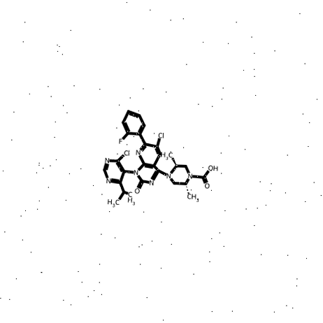 CC(C)c1ncnc(Cl)c1-n1c(=O)nc(N2C[C@@H](C)N(C(=O)O)C[C@@H]2C)c2cc(Cl)c(-c3ccccc3F)nc21